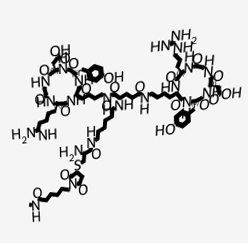 CNC(=O)CCCCCN1C(=O)CC(SCC(N)C(=O)NCCCCCC(=O)NC(CCC(=O)NCCCCC2NC(=O)[C@@H](CCCNC(=N)N)NC(=O)CNC(=O)[C@@H](CC(=O)O)NC(=O)[C@H](Cc3ccc(O)cc3)NC2=O)C(=O)NCCCCC2NC(=O)[C@@H](CCCCC(=N)N)NC(=O)CNC(=O)[C@@H](CC(=O)O)NC(=O)[C@H](Cc3ccc(O)cc3)NC2=O)C1=O